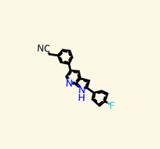 N#CCc1cccc(-c2cnc3[nH]c(-c4ccc(F)cc4)cc3c2)c1